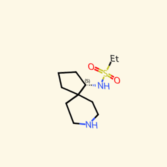 CCS(=O)(=O)N[C@H]1CCCC12CCNCC2